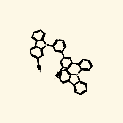 N#Cc1cc(-c2cccc(-n3c4ccccc4c4ccc(C#N)cc43)c2)cc(-c2ccccc2-n2c3ccccc3c3ccccc32)c1